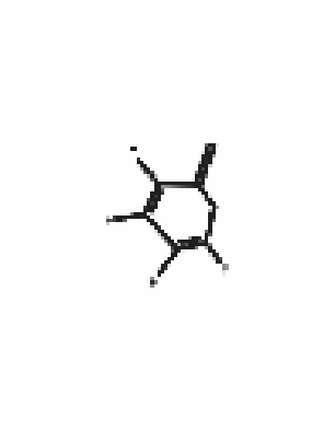 C=C1CC(F)=C(F)C(F)=C1F